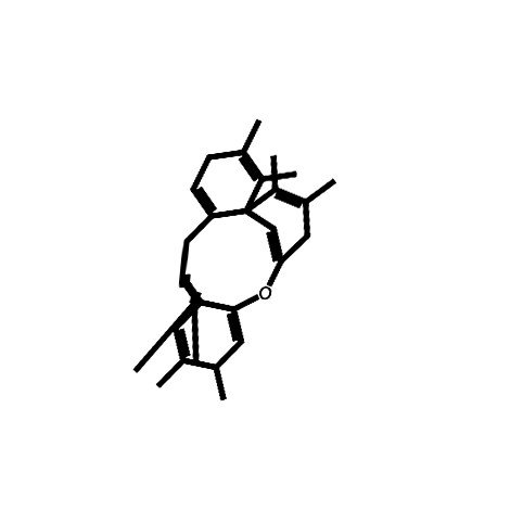 CC1=CC23C(=CCC(C)=C2C)CC2=CCC(C)=C(C)C24C=C(CC(C)=C4C)OC3=CC1C